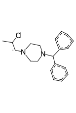 CC(Cl)[CH]N1CCN(C(c2ccccc2)c2ccccc2)CC1